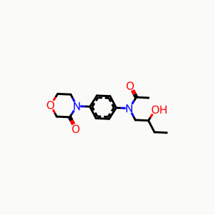 CCC(O)CN(C(C)=O)c1ccc(N2CCOCC2=O)cc1